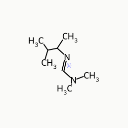 CC(C)C(C)/N=C/N(C)C